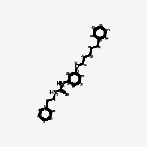 S=C(NCCc1ccccc1)Nc1cccc(OCCCCCc2ccccc2)c1